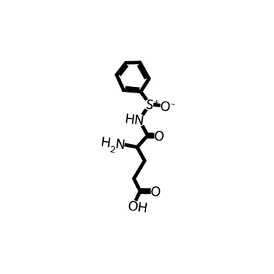 NC(CCC(=O)O)C(=O)N[S+]([O-])c1ccccc1